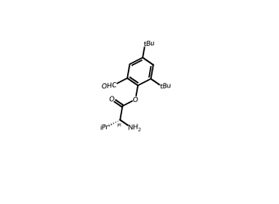 CC(C)[C@@H](N)C(=O)Oc1c(C=O)cc(C(C)(C)C)cc1C(C)(C)C